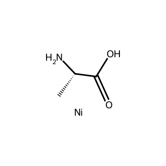 C[C@H](N)C(=O)O.[Ni]